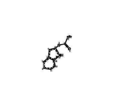 CCCC(=O)Oc1cc2ccccc2[nH]1